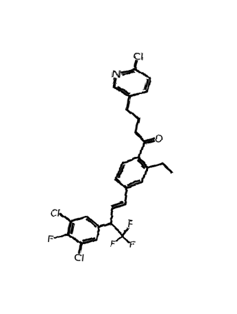 CCc1cc(/C=C/C(c2cc(Cl)c(F)c(Cl)c2)C(F)(F)F)ccc1C(=O)CCCc1ccc(Cl)nc1